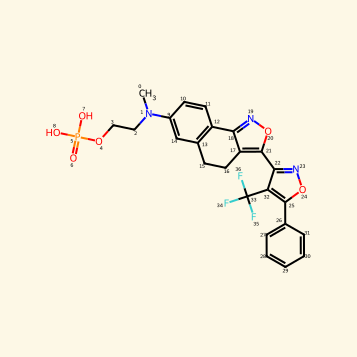 CN(CCOP(=O)(O)O)c1ccc2c(c1)CCc1c-2noc1-c1noc(-c2ccccc2)c1C(F)(F)F